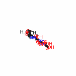 CC1=C(CCCNC(CCC(=O)NC(CCC(=O)NC(CCC(=O)O)C(=O)O)C(=O)O)C(=O)O)C2=C(C)C3(CC3)[C@@](C)(O)C(=O)C2=C1